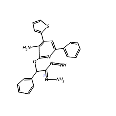 N=N/C(=N\N)C(Oc1nc(-c2ccccc2)cc(-c2cccs2)c1N)c1ccccc1